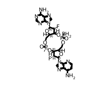 B[P@@]1(=O)OC[C@H]2O[C@@H](n3cnc4c(N)ccnc43)[C@H](F)[C@@H]2O[P@@](C)(=O)OC[C@H]2O[C@@H](n3cnc4c(N)ncnc43)[C@H](F)[C@@H]2O1